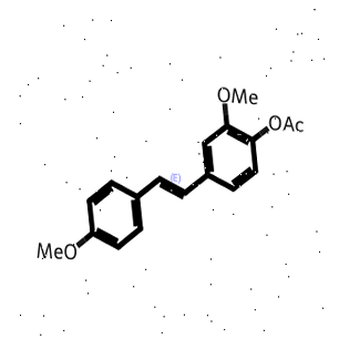 COc1ccc(/C=C/c2ccc(OC(C)=O)c(OC)c2)cc1